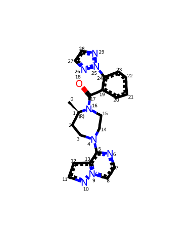 C[C@@H]1CCN(c2nccn3nccc23)CCN1C(=O)c1ccccc1-n1nccn1